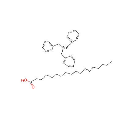 CCCCCCCCCCCCCCCCCC(=O)O.c1ccc([CH2][Sn]([CH2]c2ccccc2)[CH2]c2ccccc2)cc1